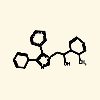 C[C@@H]1C=CC=CC1C(O)Cn1cnc(C2C=CC=CC2)c1-c1ccccc1